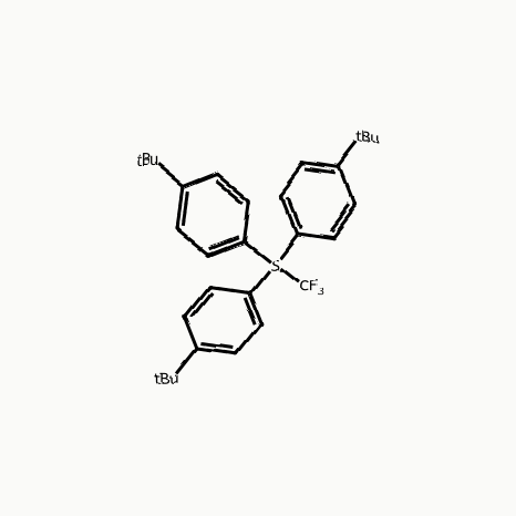 CC(C)(C)c1ccc(S(c2ccc(C(C)(C)C)cc2)(c2ccc(C(C)(C)C)cc2)C(F)(F)F)cc1